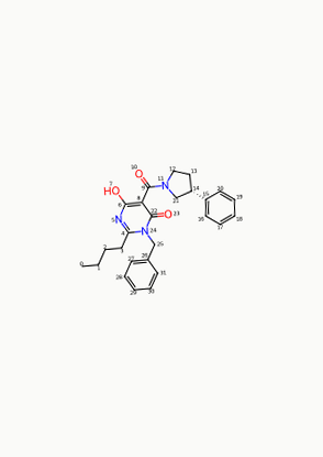 CCCCc1nc(O)c(C(=O)N2CC[C@H](c3ccccc3)C2)c(=O)n1Cc1ccccc1